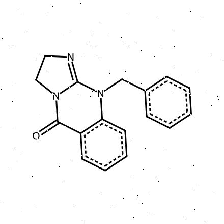 O=C1c2ccccc2N(Cc2ccccc2)C2=NCCN12